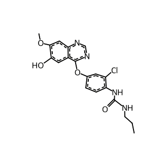 CCCNC(=O)Nc1ccc(Oc2ncnc3cc(OC)c(O)cc23)cc1Cl